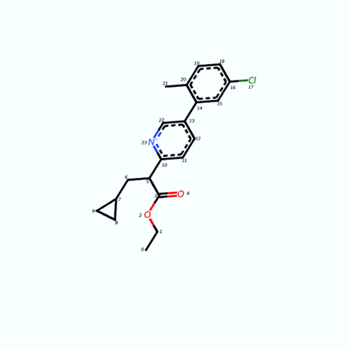 CCOC(=O)C(CC1CC1)c1ccc(-c2cc(Cl)ccc2C)cn1